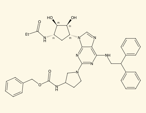 CCC(=O)N[C@H]1C[C@@H](n2cnc3c(NCC(c4ccccc4)c4ccccc4)nc(N4CCC(NC(=O)OCc5ccccc5)C4)nc32)[C@H](O)[C@@H]1O